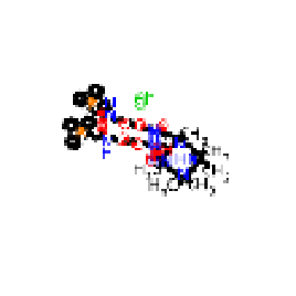 C=Cc1c(C)c2cc3nc(c(CC(=O)NCCOCCOCCNC(=O)CCC[P+](c4ccccc4)(c4ccccc4)c4ccccc4)c4[nH]c(cc5nc(cc1[nH]2)C(C)=C5CC)c(C)c4C(=O)O)C(CCC(=O)NCCOCCOCCNC(=O)CCC[P+](c1ccccc1)(c1ccccc1)c1ccccc1)C3C.[Cl-].[Cl-]